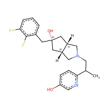 CC(CN1C[C@@H]2C[C@@](O)(Cc3cccc(F)c3F)C[C@@H]2C1)c1ccc(O)cn1